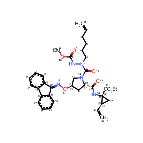 C=CCCCCN(NC(=O)OC(C)(C)C)C(=O)N1C[C@H](ON=C2c3ccccc3-c3ccccc32)C[C@H]1C(=O)N[C@]1(C(=O)OCC)C[C@H]1C=C